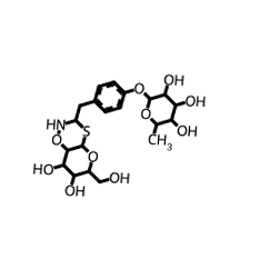 CC1OC(Oc2ccc(CC3NOC4C(OC(CO)C(O)C4O)S3)cc2)C(O)C(O)C1O